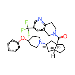 O=C(N1CCc2ncc(C(F)(F)F)cc2C1)[C@@]12CCC[C@@H]1C[C@@H](N1CCC(Oc3ccccc3)CC1)C2